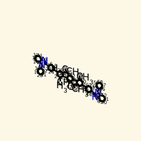 Cc1cc(-c2ccc(-c3nc4ccccc4n3-c3ccccc3)cc2)cc2c1-c1cc3c(cc1C2(C)C)-c1c(C)cc(-c2ccc(-c4nc5ccccc5n4-c4ccccc4)cc2)cc1C3(C)C